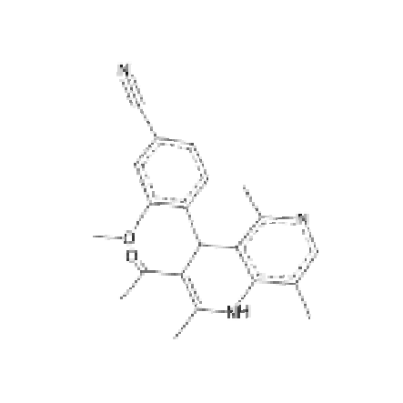 COc1cc(C#N)ccc1C1C(C(C)=O)=C(C)Nc2c(C)cnc(C)c21